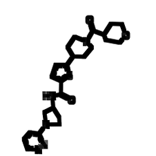 O=C(NC1CCN(c2cccnn2)C1)c1ccc(C2CCN(C(=O)C3CCOCC3)CC2)s1